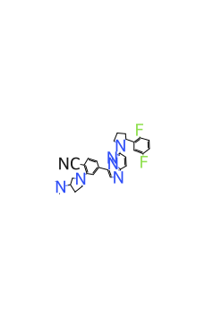 CN(C)C1CCN(c2cc(-c3cnc4ccc(N5CCCC5c5cc(F)ccc5F)nn34)ccc2C#N)C1